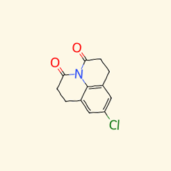 O=C1CCc2cc(Cl)cc3c2N1C(=O)CC3